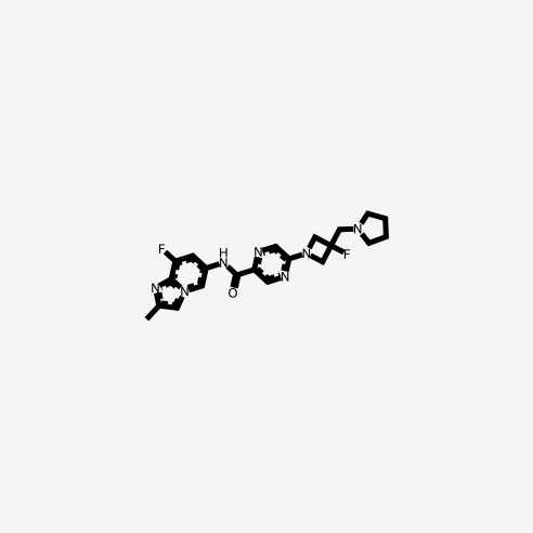 Cc1cn2cc(NC(=O)c3cnc(N4CC(F)(CN5CCCC5)C4)cn3)cc(F)c2n1